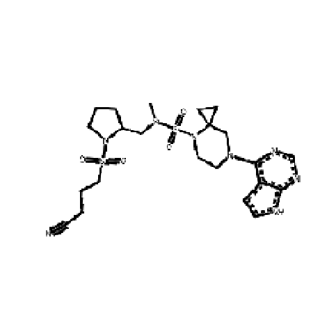 CN(CC1CCCN1S(=O)(=O)CCCC#N)S(=O)(=O)N1CCN(c2ncnc3[nH]ccc23)CC12CC2